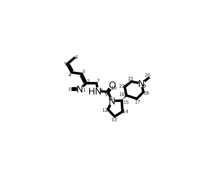 C=N/C(=C\C=C/C)CNC(=O)N1CCC[C@H]1C1CCN(C)CC1